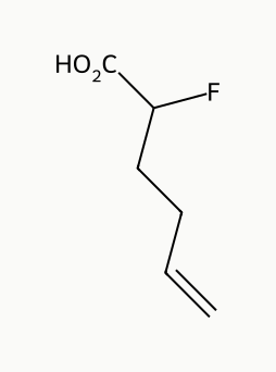 C=CCCC(F)C(=O)O